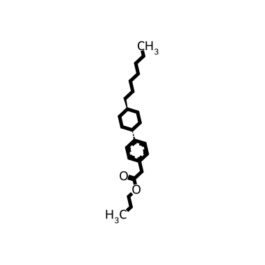 CCCCCCC[C@H]1CC[C@H](c2ccc(CC(=O)OCCC)cc2)CC1